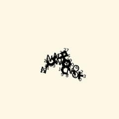 CC(C)(C)OC(=O)N1CCCc2cc(C3(c4nc5ncc(C#N)cc5[nH]4)CCC3)ccc21